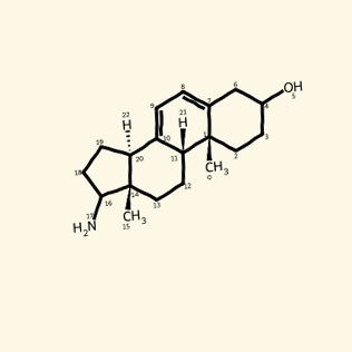 C[C@]12CCC(O)CC1=CC=C1[C@H]2CC[C@]2(C)C(N)CC[C@@H]12